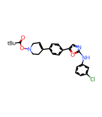 CC(C)(C)C(=O)ON1CC=C(c2ccc(-c3cnc(Nc4cccc(Cl)c4)o3)cc2)CC1